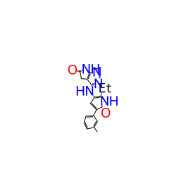 CCc1[nH]c(=O)c(-c2cccc(C)c2)cc1Nc1ncnc2c1CC(=O)N2